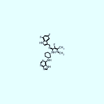 C=N/C(C)=C(F)\C(=N/Cc1c[nH]c2c(F)cc(F)cc12)N[C@H]1CCC[C@@H](Nc2ncnc3nc[nH]c23)C1